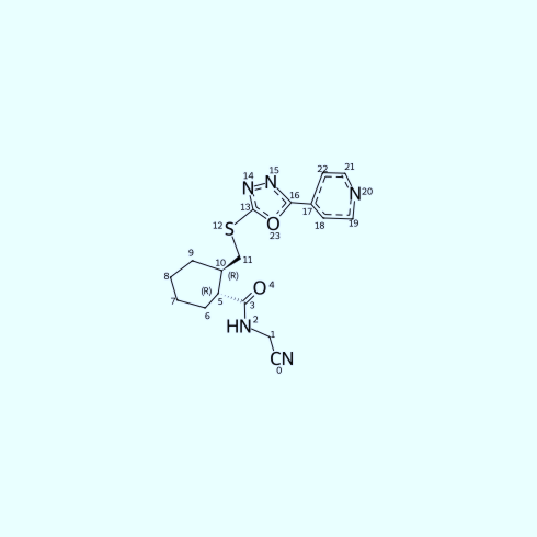 N#CCNC(=O)[C@@H]1CCCC[C@H]1CSc1nnc(-c2ccncc2)o1